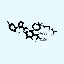 COC(=O)C(OC(C)(C)C)c1c(C)c(C)c2nc(-c3cccc(-c4cc(C)ccc4O)c3)cn2c1N1CCC(C)(OCCOCC(C)O)CC1